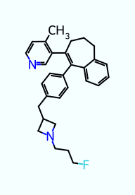 Cc1ccncc1C1=C(c2ccc(CC3CN(CCCF)C3)cc2)c2ccccc2CCC1